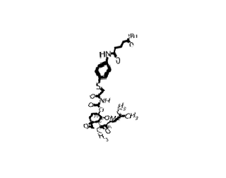 CO[C@H]1[C@H](C2(C)O[C@@H]2CC=C(C)C)[C@]2(CC[C@H]1OC(=O)NC(=O)CSc1ccc(NC(=O)CCCC(=O)C(C)(C)C)cc1)CO2